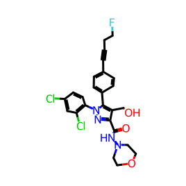 O=C(NN1CCOCC1)c1nn(-c2ccc(Cl)cc2Cl)c(-c2ccc(C#CCCF)cc2)c1CO